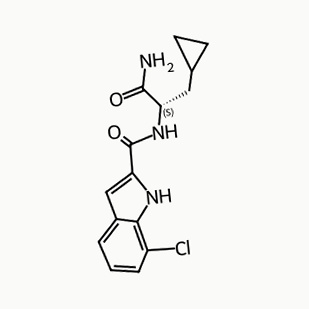 NC(=O)[C@H](CC1CC1)NC(=O)c1cc2cccc(Cl)c2[nH]1